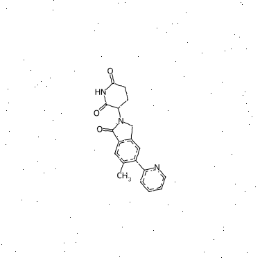 Cc1cc2c(cc1-c1ccccn1)CN(C1CCC(=O)NC1=O)C2=O